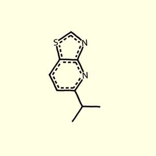 CC(C)c1ccc2scnc2n1